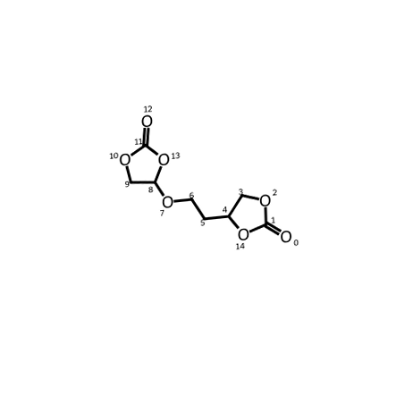 O=C1OCC(CCOC2COC(=O)O2)O1